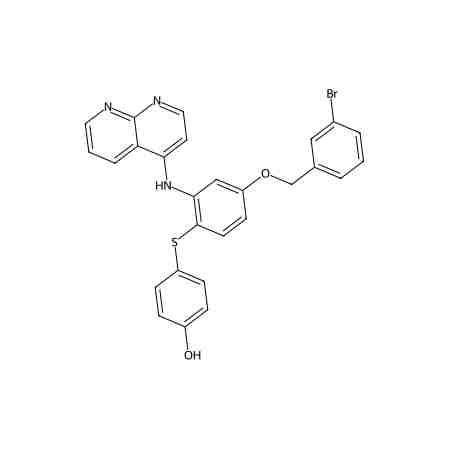 Oc1ccc(Sc2ccc(OCc3cccc(Br)c3)cc2Nc2ccnc3ncccc23)cc1